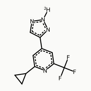 [2H]n1ncc(-c2cc(C3CC3)nc(C(F)(F)F)c2)n1